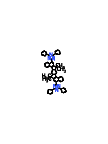 CC1(C)c2cc3c(cc2-c2c1cc(-c1nc(-c4ccccc4)nc(-c4ccccc4)n1)c1ccccc21)C(C)(C)c1cc(-c2nc(-c4ccccc4)nc(-c4ccccc4)n2)c2ccccc2c1-3